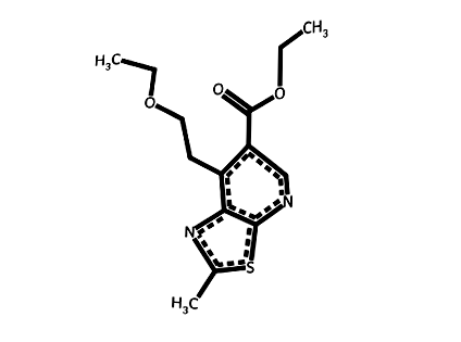 CCOCCc1c(C(=O)OCC)cnc2sc(C)nc12